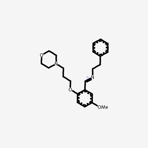 COc1ccc(OCCCN2CCOCC2)c(/C=N/CCc2ccccc2)c1